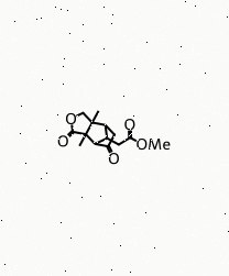 COC(=O)CC1C2CC(=O)C1C1(C)C(=O)OCC21C